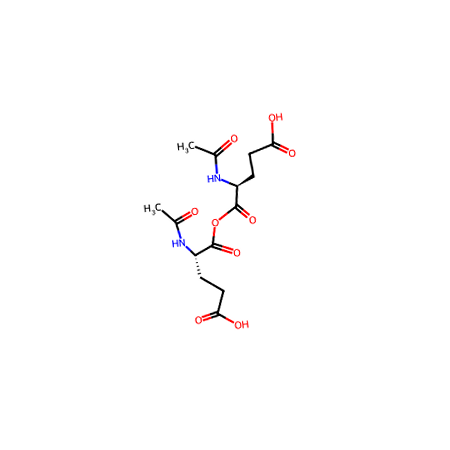 CC(=O)N[C@@H](CCC(=O)O)C(=O)OC(=O)[C@H](CCC(=O)O)NC(C)=O